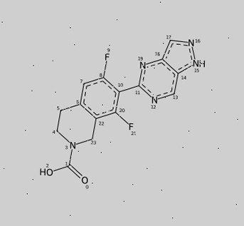 O=C(O)N1CCc2cc(F)c(-c3ncc4[nH]ncc4n3)c(F)c2C1